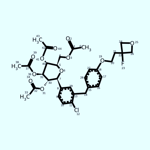 CC(=O)OC[C@H]1O[C@@H](c2ccc(Cl)c(Cc3ccc(OCCC4(F)COC4)cc3)c2)[C@H](OC(C)=O)[C@@H](OC(C)=O)[C@@H]1OC(C)=O